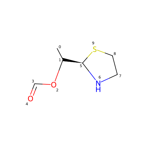 CC(OC=O)[C@@H]1NCCS1